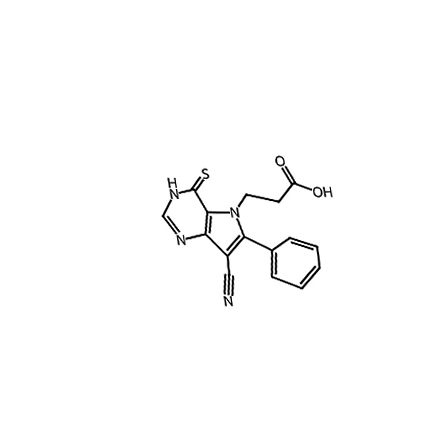 N#Cc1c(-c2ccccc2)n(CCC(=O)O)c2c(=S)[nH]cnc12